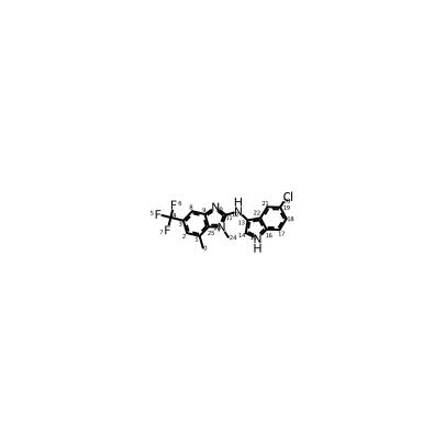 Cc1cc(C(F)(F)F)cc2nc(Nc3c[nH]c4ccc(Cl)cc34)n(C)c12